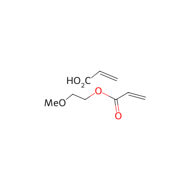 C=CC(=O)O.C=CC(=O)OCCOC